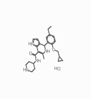 CCc1ccc(OCC2CC2)c(C2NC(C)=C(C(=O)NC3CCNCC3)c3[nH]ccc32)c1.Cl